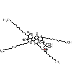 CCCCCCCCCCCCCC(Sc1cc2[nH]c(SC(CCCCCCCCCCCCC)C(=S)OCC(CO)(CO)CO)nc2c(SC(CCCCCCCCCCCCC)C(O)=S)c1SC(CCCCCCCCCCCCC)C(O)=S)C(O)=S